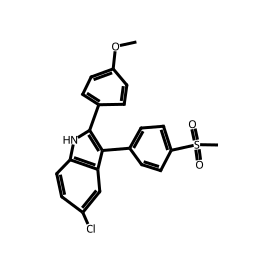 COc1ccc(-c2[nH]c3ccc(Cl)cc3c2-c2ccc(S(C)(=O)=O)cc2)cc1